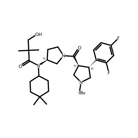 CC1(C)CCC(N(C(=O)C(C)(C)CO)[C@H]2CCN(C(=O)[C@@H]3CN(C(C)(C)C)C[C@H]3c3ccc(F)cc3F)C2)CC1